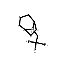 FC(F)(F)CN1C2C[CH]CC1CC2